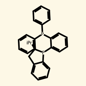 CC(C)C1Cc2ccccc2P1c1ccccc1P(c1ccccc1)c1ccccc1